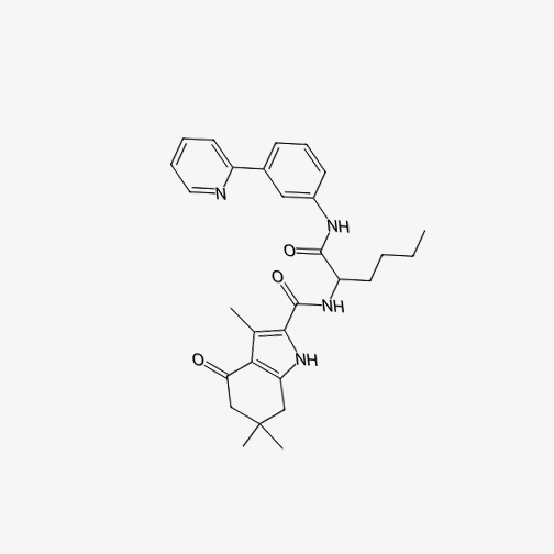 CCCCC(NC(=O)c1[nH]c2c(c1C)C(=O)CC(C)(C)C2)C(=O)Nc1cccc(-c2ccccn2)c1